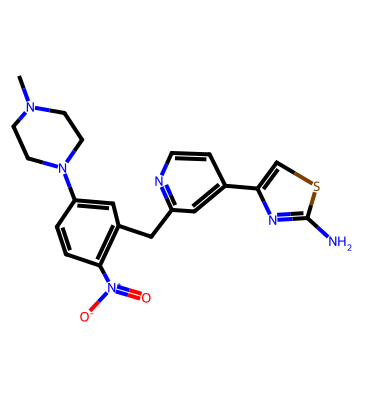 CN1CCN(c2ccc([N+](=O)[O-])c(Cc3cc(-c4csc(N)n4)ccn3)c2)CC1